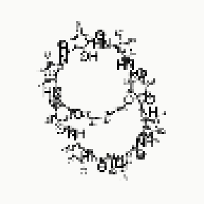 Cc1cc2c(O)c(c1)C(=O)Nc1cc(c(C)cc1C)NC(=O)c1cc(C)cc3c1OC#CC#CC#COc1c(cc(C)cc1C(=O)Nc1cc(c(C)cc1C)NC(=O)c1cc(C)cc(c1O)C(=O)Nc1cc(c(C)cc1C)NC3=O)C(=O)Nc1cc(c(C)cc1C)NC2=O